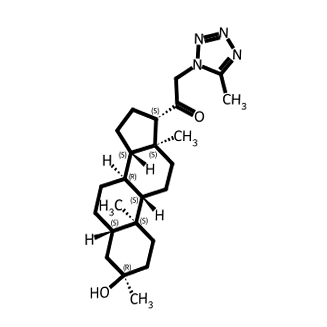 Cc1nnnn1CC(=O)[C@H]1CC[C@H]2[C@@H]3CC[C@H]4C[C@](C)(O)CC[C@]4(C)[C@H]3CC[C@]12C